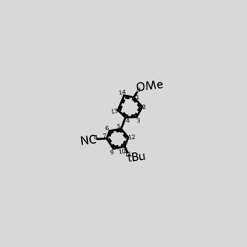 COc1ccc(-c2cc(C#N)cc(C(C)(C)C)c2)cc1